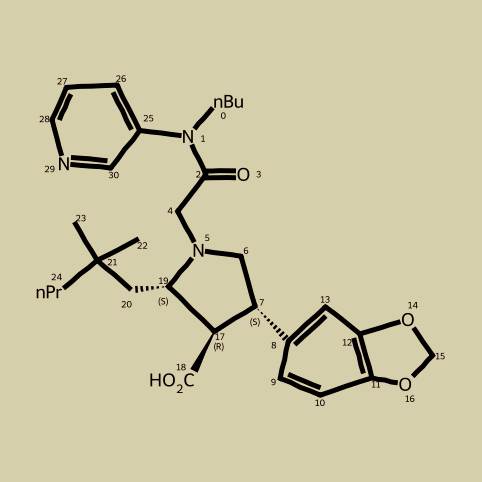 CCCCN(C(=O)CN1C[C@H](c2ccc3c(c2)OCO3)[C@@H](C(=O)O)[C@@H]1CC(C)(C)CCC)c1cccnc1